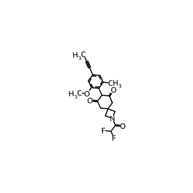 CC#Cc1cc(C)c(C2C(=O)CC3(CC2=O)CN(C(=O)C(F)F)C3)c(OC)c1